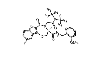 [2H]C([2H])([2H])N(C(=O)CN1C(=O)c2oc3ccc(F)cc3c2OC[C@]1(C)C(=O)NCc1ncccc1OC)C([2H])([2H])[2H]